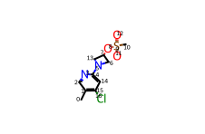 Cc1cnc(N2CC(OS(C)(=O)=O)C2)cc1Cl